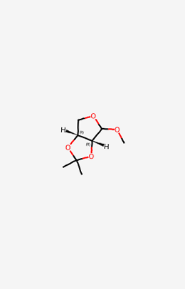 COC1OC[C@H]2OC(C)(C)O[C@@H]12